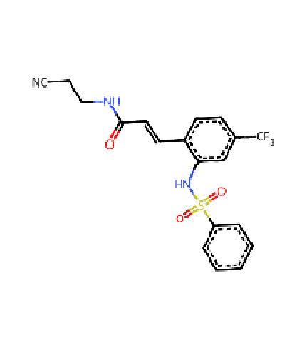 N#CCCNC(=O)/C=C/c1ccc(C(F)(F)F)cc1NS(=O)(=O)c1ccccc1